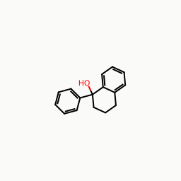 OC1(c2ccccc2)CCCc2ccccc21